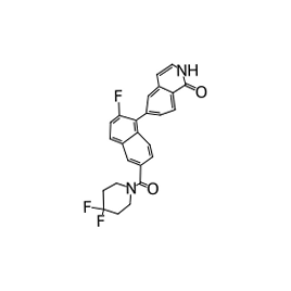 O=C(c1ccc2c(-c3ccc4c(=O)[nH]ccc4c3)c(F)ccc2c1)N1CCC(F)(F)CC1